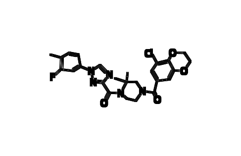 Cc1ccc(-n2cnc(C(=O)N3CCN(C(=O)c4cc(Cl)c5c(c4)OCCO5)CC3(C)C)n2)cc1F